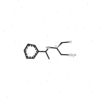 CC(N[C@@H](CCl)CC(=O)O)c1ccccc1